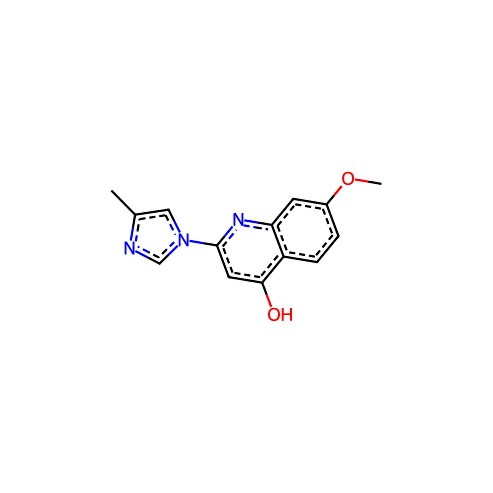 COc1ccc2c(O)cc(-n3cnc(C)c3)nc2c1